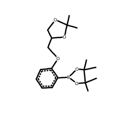 CC1(C)OCC(COc2ccccc2B2OC(C)(C)C(C)(C)O2)O1